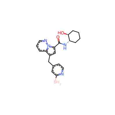 Bc1cc(Cc2cc(C(=O)N[C@H]3CCCC[C@@H]3O)n3ncccc23)ccn1